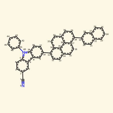 N#Cc1ccc2c(c1)c1cc(-c3ccc4ccc5c(-c6ccc7ccccc7c6)ccc6ccc3c4c65)ccc1n2-c1ccccc1